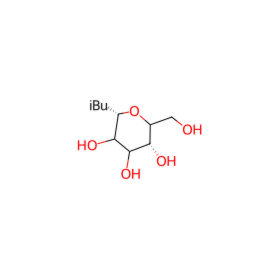 CCC(C)[C@@H]1OC(CO)[C@H](O)C(O)C1O